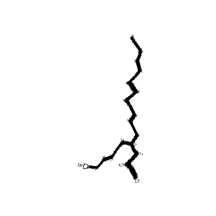 CCCCCCCCCCC(CCC)CCCC[O]